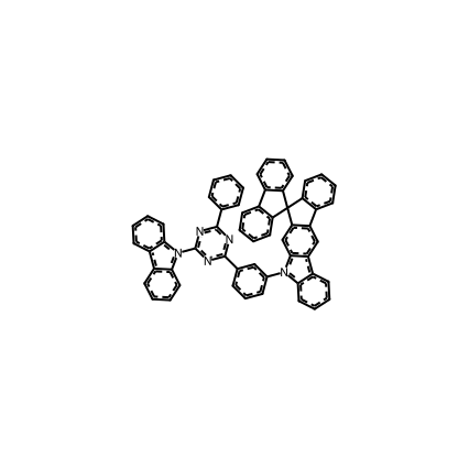 c1ccc(-c2nc(-c3cccc(-n4c5ccccc5c5cc6c(cc54)C4(c5ccccc5-c5ccccc54)c4ccccc4-6)c3)nc(-n3c4ccccc4c4ccccc43)n2)cc1